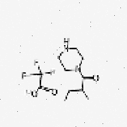 CCC(C)C(=O)N1CCNCC1.O=C(O)C(F)(F)F